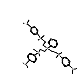 C[SiH](C)c1ccc([Si](C)(C)CC[Si](CC[Si](C)(C)c2ccc([SiH](C)C)cc2)(CC[Si](C)(C)c2ccc([SiH](C)C)cc2)c2ccccc2)cc1